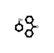 O=C(c1ccccc1)c1ccccc1.Sc1ccccc1